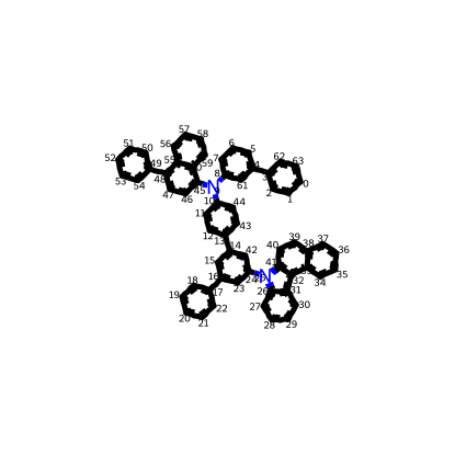 c1ccc(-c2cccc(N(c3ccc(-c4cc(-c5ccccc5)cc(-n5c6ccccc6c6c7ccccc7ccc65)c4)cc3)c3ccc(-c4ccccc4)c4ccccc34)c2)cc1